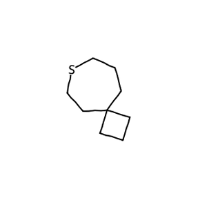 C1CSCCC2(C1)CCC2